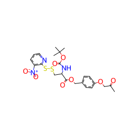 CC(=O)COc1ccc(COC(=O)C(CSSc2ncccc2[N+](=O)[O-])NC(=O)OC(C)(C)C)cc1